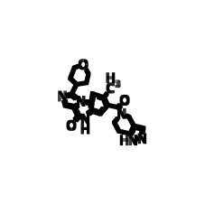 Cc1cc2c(cc1C(=O)N1CCc3[nH]ncc3C1)[nH]c(=O)c1cnc(C3CCOCC3)n12